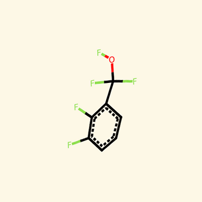 FOC(F)(F)c1cccc(F)c1F